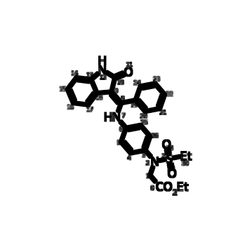 CCOC(=O)CN(c1ccc(NC(=C2C(=O)Nc3ccccc32)c2ccccc2)cc1)S(=O)(=O)CC